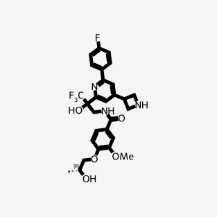 COc1cc(C(=O)NCC(O)(c2cc(C3CNC3)cc(-c3ccc(F)cc3)n2)C(F)(F)F)ccc1OC[C@@H](C)O